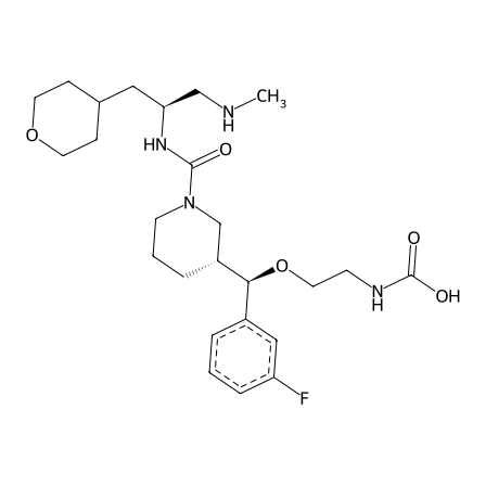 CNC[C@H](CC1CCOCC1)NC(=O)N1CCC[C@@H]([C@@H](OCCNC(=O)O)c2cccc(F)c2)C1